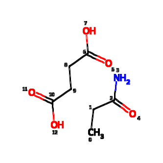 CCC(N)=O.O=C(O)CCC(=O)O